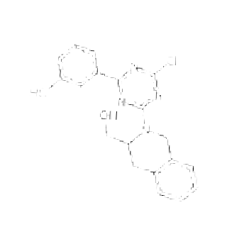 OCC1Cc2ccccc2CN1c1nc(Cl)nc(-c2cccc(O)c2)n1